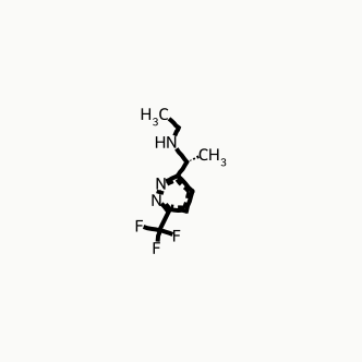 CCN[C@H](C)c1ccc(C(F)(F)F)nn1